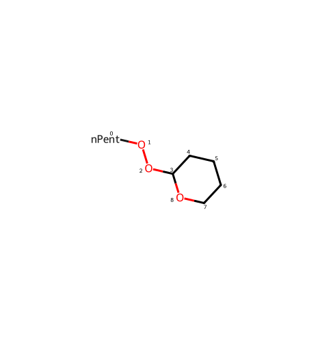 CCCCCOOC1CCCCO1